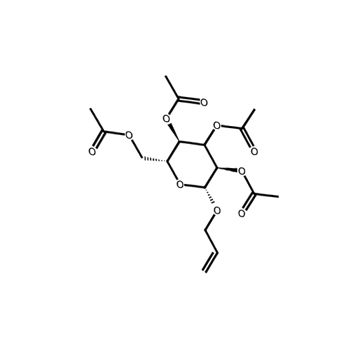 C=CCO[C@@H]1O[C@H](COC(C)=O)[C@@H](OC(C)=O)C(OC(C)=O)[C@H]1OC(C)=O